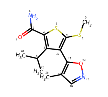 CSc1sc(C(N)=O)c(C(C)C)c1-c1oncc1C